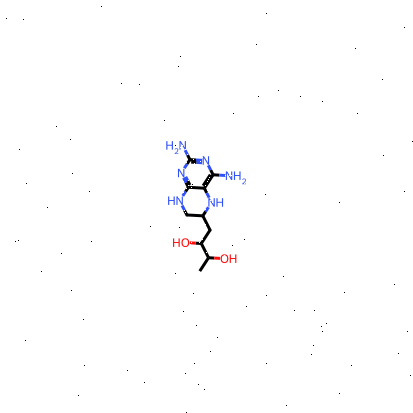 CC(O)C(O)CC1CNc2nc(N)nc(N)c2N1